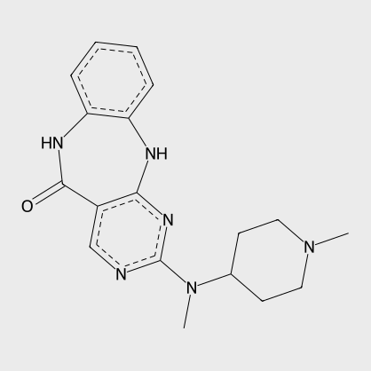 CN1CCC(N(C)c2ncc3c(n2)Nc2ccccc2NC3=O)CC1